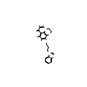 CC(=O)c1cn2c3c(c(NCCCn4cnc5ccccc54)c(F)c(N)c3c1=O)OC[C@H]2C